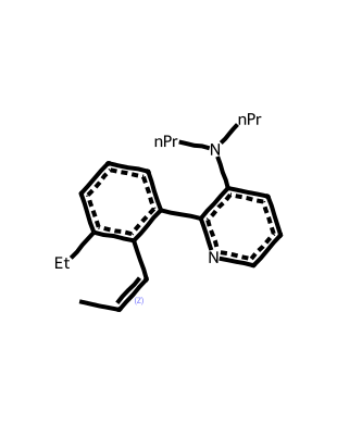 C/C=C\c1c(CC)cccc1-c1ncccc1N(CCC)CCC